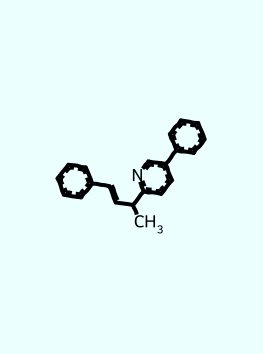 CC(/C=C/c1ccccc1)c1ccc(-c2ccccc2)cn1